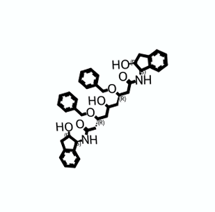 O=C(C[C@@H](CC(O)C[C@H](CC(=O)N[C@H]1c2ccccc2C[C@H]1O)OCc1ccccc1)OCc1ccccc1)N[C@H]1c2ccccc2C[C@H]1O